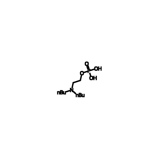 CCCCN(CCCC)CCOP(=O)(O)O